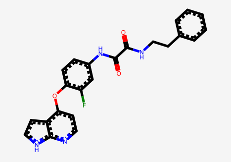 O=C(NCCc1ccccc1)C(=O)Nc1ccc(Oc2ccnc3[nH]ccc23)c(F)c1